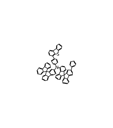 c1ccc(-c2ccc3c(c2)C2(c4ccccc4-3)c3ccccc3-c3c(N(c4ccc(-c5cccc6c5sc5ccccc56)cc4)c4ccc5c(c4)C4(c6ccccc6-c6ccccc64)c4ccccc4-5)cccc32)cc1